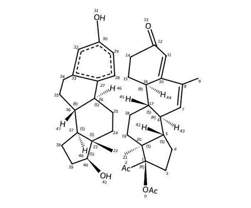 CC(=O)O[C@]1(C(C)=O)CC[C@H]2[C@@H]3C=C(C)C4=CC(=O)CC[C@@H]4[C@H]3CC[C@@]21C.C[C@]12CC[C@@H]3c4ccc(O)cc4CC[C@H]3[C@@H]1CC[C@@H]2O